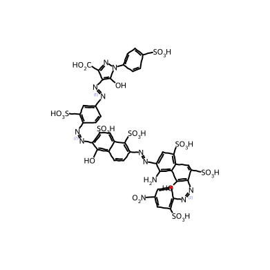 Nc1c(N=Nc2ccc3c(O)c(/N=N\c4ccc(/N=N/c5c(C(=O)O)nn(-c6ccc(S(=O)(=O)O)cc6)c5O)cc4S(=O)(=O)O)c(S(=O)(=O)O)cc3c2S(=O)(=O)O)cc(S(=O)(=O)O)c2cc(S(=O)(=O)O)c(/N=N\c3ccc([N+](=O)[O-])cc3S(=O)(=O)O)c(O)c12